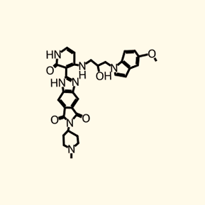 COc1ccc2c(ccn2CC(O)CNc2cc[nH]c(=O)c2-c2nc3cc4c(cc3[nH]2)C(=O)N(C2CCN(C)CC2)C4=O)c1